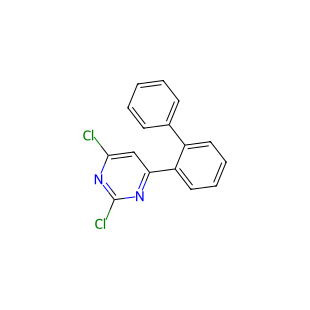 Clc1cc(-c2ccccc2-c2ccccc2)nc(Cl)n1